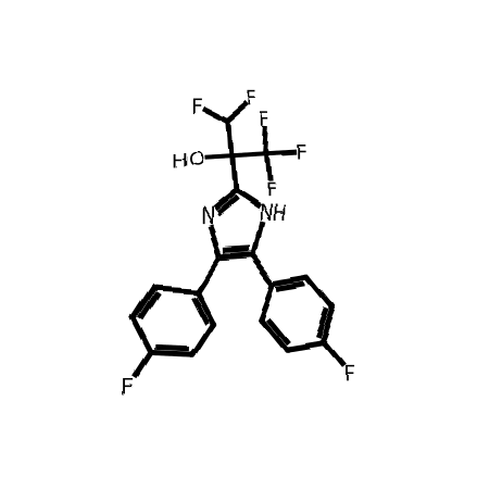 OC(c1nc(-c2ccc(F)cc2)c(-c2ccc(F)cc2)[nH]1)(C(F)F)C(F)(F)F